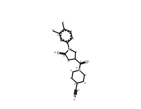 Cc1ccc(N2CC(C(=O)N3CCC(C#N)CC3)CC2=O)cc1C